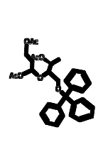 CC(=O)OCCC(OC(C)=O)OC(COC(c1ccccc1)(c1ccccc1)c1ccccc1)[C@H](C)OC(C)=O